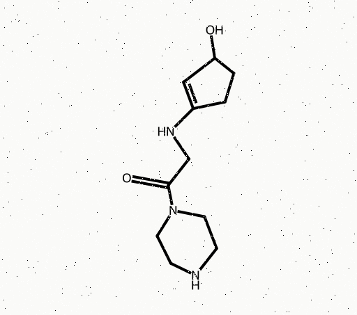 O=C(CNC1=CC(O)CC1)N1CCNCC1